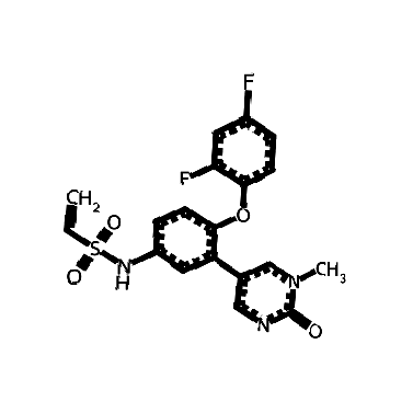 C=CS(=O)(=O)Nc1ccc(Oc2ccc(F)cc2F)c(-c2cnc(=O)n(C)c2)c1